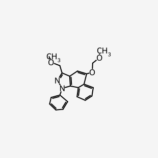 COCOc1cc2c(COC)nn(-c3ccccc3)c2c2ccccc12